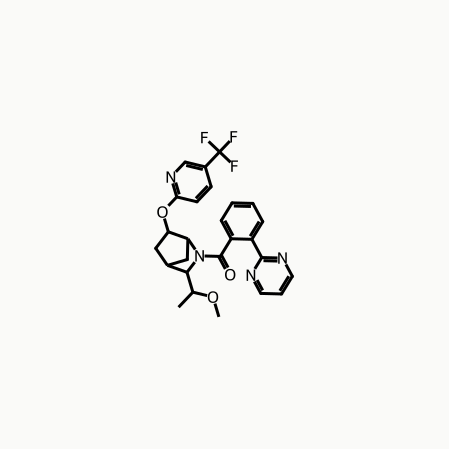 COC(C)C1C2CC(Oc3ccc(C(F)(F)F)cn3)C(C2)N1C(=O)c1ccccc1-c1ncccn1